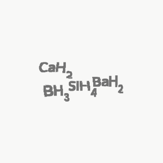 B.[BaH2].[CaH2].[SiH4]